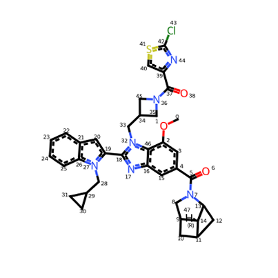 COc1cc(C(=O)N2CC3CC4CC2[C@H]43)cc2nc(-c3cc4ccccc4n3CC3CC3)n(CC3CN(C(=O)c4csc(Cl)n4)C3)c12